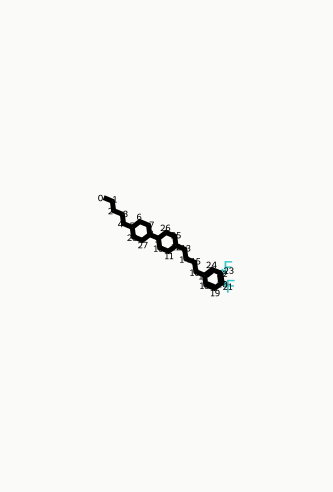 CCCCCC1CCC(C2CCC(CCCCc3ccc(F)c(F)c3)CC2)CC1